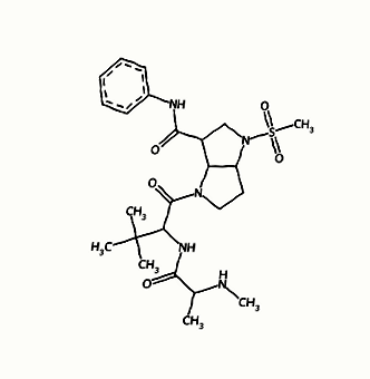 CNC(C)C(=O)NC(C(=O)N1CCC2C1C(C(=O)Nc1ccccc1)CN2S(C)(=O)=O)C(C)(C)C